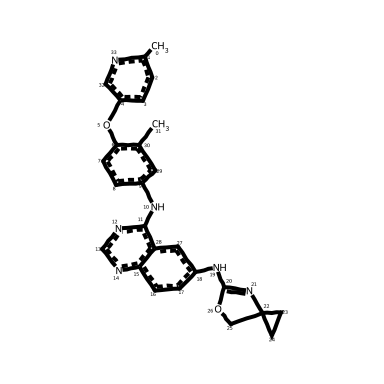 Cc1ccc(Oc2ccc(Nc3ncnc4ccc(NC5=NC6(CC6)CO5)cc34)cc2C)cn1